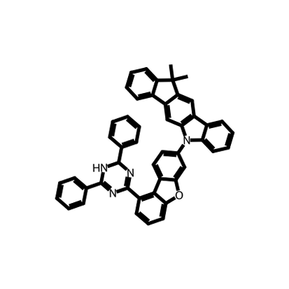 CC1(C)c2ccccc2-c2cc3c(cc21)c1ccccc1n3-c1ccc2c(c1)oc1cccc(C3=NC(c4ccccc4)NC(c4ccccc4)=N3)c12